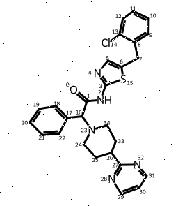 O=C(Nc1ncc(Cc2ccccc2Cl)s1)C(c1ccccc1)N1CCC(c2ncccn2)CC1